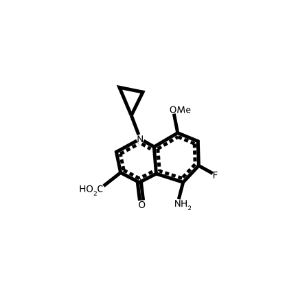 COc1cc(F)c(N)c2c(=O)c(C(=O)O)cn(C3CC3)c12